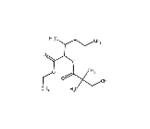 CCCC(C)C(OC(=O)C(C)(C)CC)C(=O)OCC